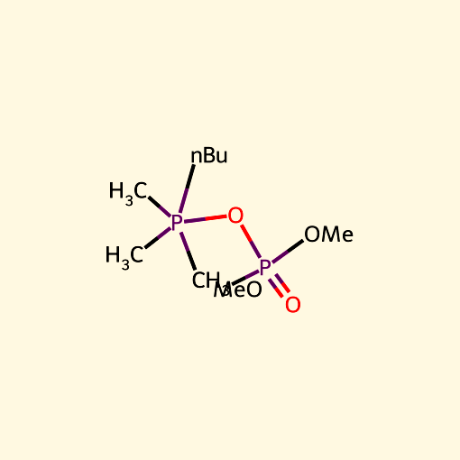 CCCCP(C)(C)(C)OP(=O)(OC)OC